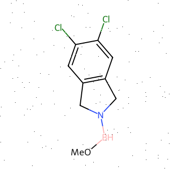 COBN1Cc2cc(Cl)c(Cl)cc2C1